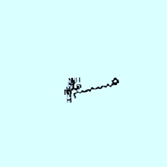 C=CC(CCCCCCCCCCCCCc1ccccc1)C(=O)C(c1c[nH]nn1)c1c[nH]nn1